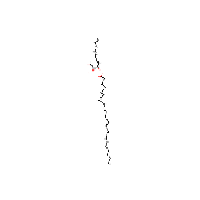 CCCCCCCCCCCCCCCCCCCCCC(=O)OC(CCCCCCCC)C(O)CO